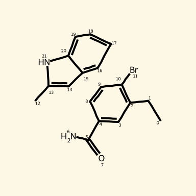 CCc1cc(C(N)=O)ccc1Br.Cc1cc2ccccc2[nH]1